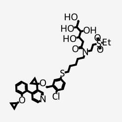 CCS(=O)(=O)CCN(CCCCCSc1ccc(Cl)c(COC2(c3cnccc3-c3ccccc3OC3CC3)CC2)c1)C(=O)CC(O)C(O)C(O)CO